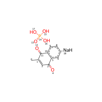 CC1=CC(=O)c2ccccc2C1=O.O=P(O)(O)O.[NaH]